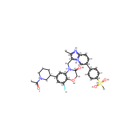 CC(=O)N1CCCC(c2cc(F)c3c(c2)N(Cc2c(C)nc4ccc(-c5ccc(S(C)(=O)=O)cc5)cn24)C(=O)CO3)C1